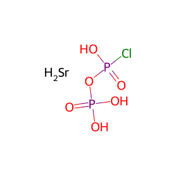 O=P(O)(O)OP(=O)(O)Cl.[SrH2]